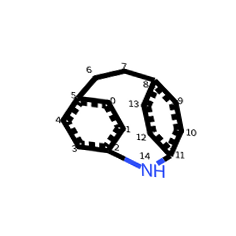 c1cc2ccc1CCc1ccc(cc1)N2